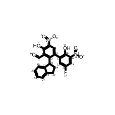 O=Cc1c(O)c([N+](=O)[O-])cc(-c2cc(F)cc([N+](=O)[O-])c2O)c1C1CCc2ccccc21